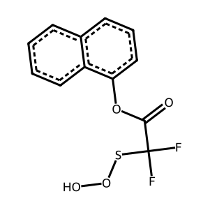 O=C(Oc1cccc2ccccc12)C(F)(F)SOO